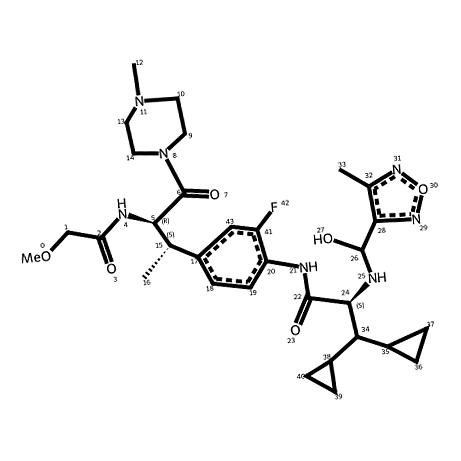 COCC(=O)N[C@@H](C(=O)N1CCN(C)CC1)[C@@H](C)c1ccc(NC(=O)[C@@H](NC(O)c2nonc2C)C(C2CC2)C2CC2)c(F)c1